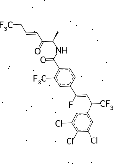 C[C@@H](NC(=O)c1ccc(/C(F)=C/C(c2cc(Cl)c(Cl)c(Cl)c2)C(F)(F)F)cc1C(F)(F)F)C(=O)/C=C/CC(F)(F)F